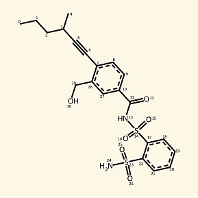 CCCC(C)C#Cc1ccc(C(=O)NS(=O)(=O)c2ccccc2S(N)(=O)=O)cc1CO